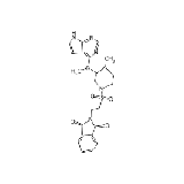 CC1CCN(S(=O)(=O)CCN2C(=O)c3ccccc3C2=O)CC1N(C)c1ncnc2[nH]ccc12